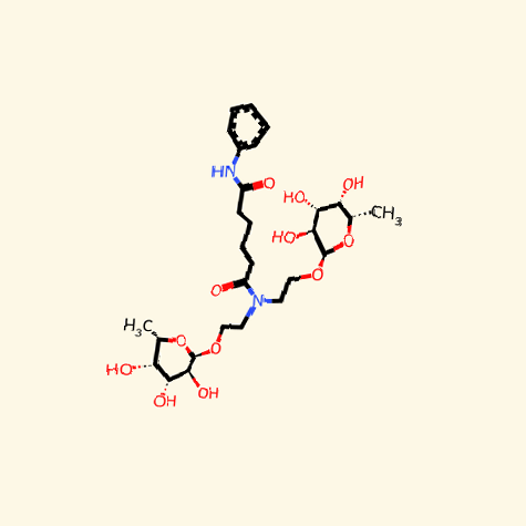 C[C@@H]1O[C@@H](OCCN(CCO[C@@H]2O[C@@H](C)[C@@H](O)[C@@H](O)[C@@H]2O)C(=O)CCCCC(=O)Nc2ccccc2)[C@@H](O)[C@H](O)[C@@H]1O